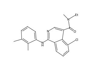 CCN(C)C(=O)c1cnc(Nc2cccc(C)c2C)c2cccc(Cl)c12